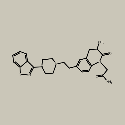 CC1Cc2cc(CCN3CCN(c4nsc5ccccc45)CC3)ccc2N(CC(N)=O)C1=O